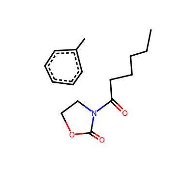 CCCCCC(=O)N1CCOC1=O.Cc1ccccc1